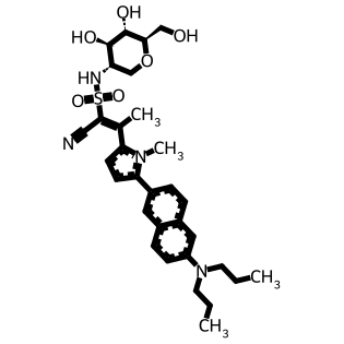 CCCN(CCC)c1ccc2cc(-c3ccc(/C(C)=C(\C#N)S(=O)(=O)N[C@H]4CO[C@H](CO)[C@@H](O)[C@@H]4O)n3C)ccc2c1